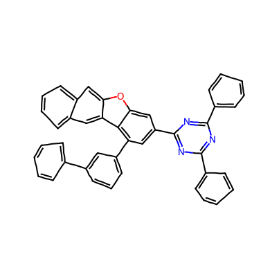 c1ccc(-c2cccc(-c3cc(-c4nc(-c5ccccc5)nc(-c5ccccc5)n4)cc4oc5cc6ccccc6cc5c34)c2)cc1